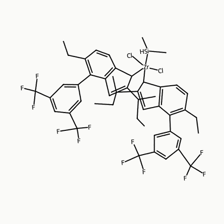 CCc1ccc2c(c1-c1cc(C(F)(F)F)cc(C(F)(F)F)c1)C=C(C(C)CC)[CH]2[Zr]([Cl])([Cl])([CH]1C(C(C)CC)=Cc2c1ccc(CC)c2-c1cc(C(F)(F)F)cc(C(F)(F)F)c1)[SiH](C)C